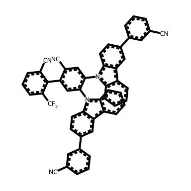 N#Cc1cccc(-c2ccc3c(c2)c2ccccc2n3-c2cc(C#N)c(-c3c(C#N)cccc3C(F)(F)F)cc2-n2c3ccccc3c3cc(-c4cccc(C#N)c4)ccc32)c1